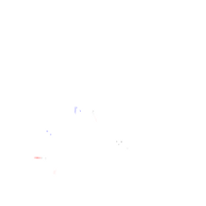 CCCCCCCCCCCC(=O)NCCN(CCO)CC(=O)O.[MgH2]